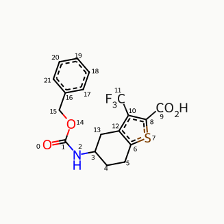 O=C(NC1CCc2sc(C(=O)O)c(C(F)(F)F)c2C1)OCc1ccccc1